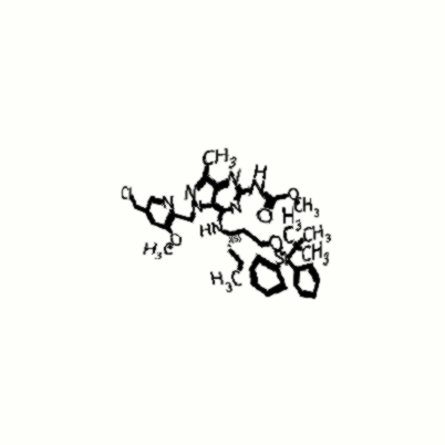 CCC[C@@H](CCO[Si](c1ccccc1)(c1ccccc1)C(C)(C)C)Nc1nc(NC(=O)OC)nc2c(C)nn(Cc3ncc(CCl)cc3OC)c12